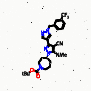 CNc1c(C#N)c(-c2cnn(Cc3cccc(C(F)(F)F)c3)c2)nn1[C@H]1CCCN(C(=O)OC(C)(C)C)CC1